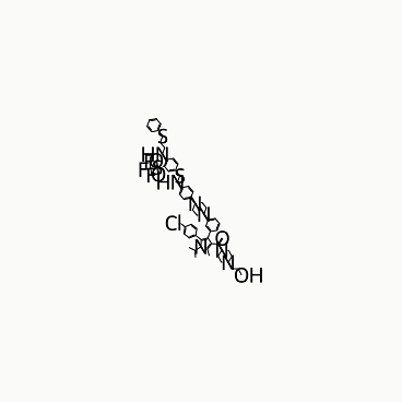 Cc1c(C(=O)N2CCN(CCO)CC2)c(-c2cccc(N3CCN(c4ccc(NSc5ccc(NCCSc6ccccc6)c(S(=O)(=O)C(F)(F)F)c5)cc4)CC3)c2)c(-c2ccc(Cl)cc2)n1C(C)C